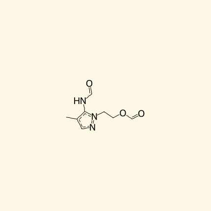 Cc1cnn(CCOC=O)c1NC=O